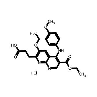 CCOC(=O)c1cnc2nc(CCC(=O)O)c(OCC)cc2c1Nc1ccc(OC)cc1.Cl